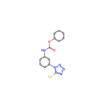 O=C(Nc1cccc(-n2nnnc2S)c1)Oc1ccccc1